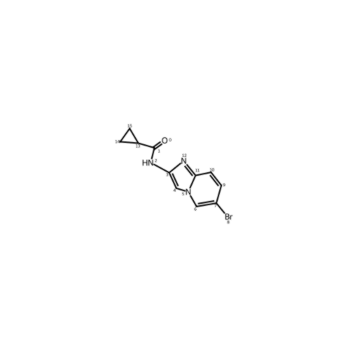 O=C(Nc1cn2cc(Br)ccc2n1)C1CC1